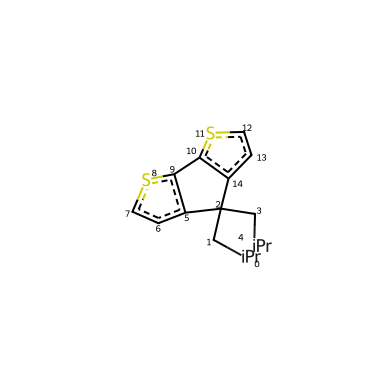 CC(C)CC1(CC(C)C)c2ccsc2-c2sccc21